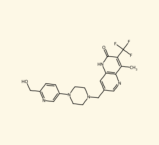 Cc1c(C(F)(F)F)c(=O)[nH]c2cc(CN3CCN(c4ccc(CO)nc4)CC3)cnc12